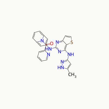 Cc1cc(Nc2nc(NC3=CC4=CC=CC(=C3)N4C(=O)c3ccccn3)nc3ccsc23)n[nH]1